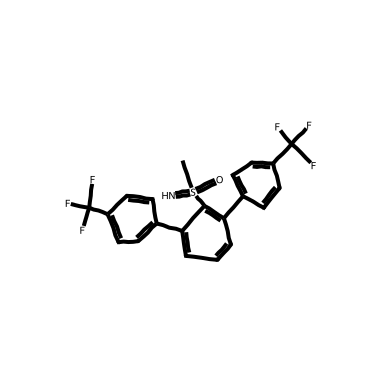 CS(=N)(=O)c1c(-c2ccc(C(F)(F)F)cc2)cccc1-c1ccc(C(F)(F)F)cc1